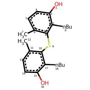 CCCCc1c(O)ccc(C)c1Sc1c(C)ccc(O)c1CCCC